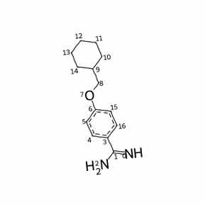 N=C(N)c1ccc(OCC2CCCCC2)cc1